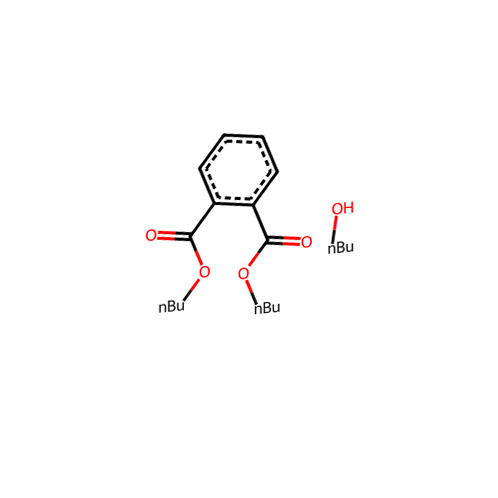 CCCCO.CCCCOC(=O)c1ccccc1C(=O)OCCCC